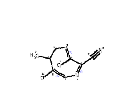 CC1C/C=C(Cl)/C(C#N)=N\C=C/1Cl